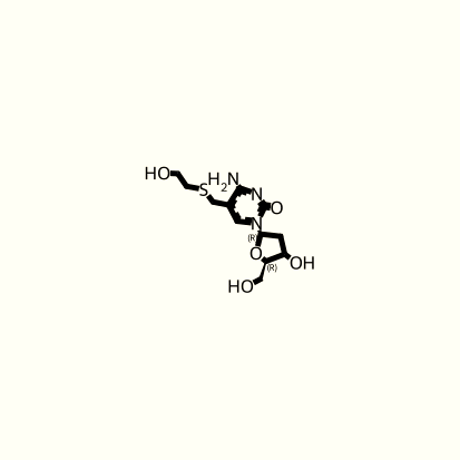 Nc1nc(=O)n([C@H]2CC(O)[C@@H](CO)O2)cc1CSCCO